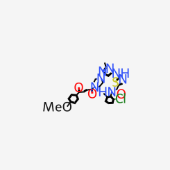 COc1ccc(C(=O)/C=C/C(=O)N2CCN(c3cc(Nc4ncc(C(=O)Nc5c(C)cccc5Cl)s4)nc(C)n3)CC2)cc1